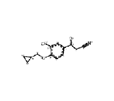 N#CCC(=O)c1ccc(OCC2CC2)c(Cl)c1